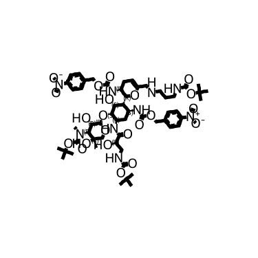 CN(C(=O)OC(C)(C)C)[C@@H]1[C@@H](O)[C@@H](O[C@H]2[C@H](NC(=O)[C@H](O)CNC(=O)OC(C)(C)C)C[C@H](NC(=O)OCc3ccc([N+](=O)[O-])cc3)C([C@H]3OC(CNCCCNC(=O)OC(C)(C)C)=CC[C@H]3NC(=O)OCc3ccc([N+](=O)[O-])cc3)[C@@H]2O)OC[C@]1(C)O